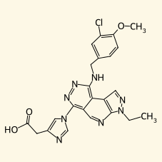 CCn1ncc2c3c(NCc4ccc(OC)c(Cl)c4)nnc(-n4cnc(CC(=O)O)c4)c3cnc21